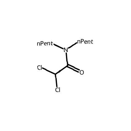 CCCCCN(CCCCC)C(=O)C(Cl)Cl